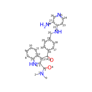 CN(C)C(=O)c1[nH]c2ccccc2c1C(=O)c1ccc(CNc2ccncc2N)cc1